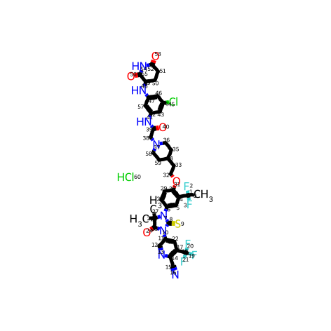 CC(F)(F)c1cc(N2C(=S)N(c3cnc(C#N)c(C(F)(F)F)c3)C(=O)C2(C)C)ccc1OCCC1CCN(CC(=O)Nc2cc(Cl)cc(NC3CCC(=O)NC3=O)c2)CC1.Cl